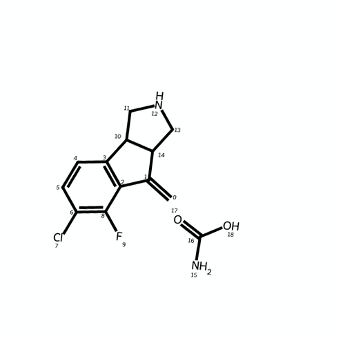 C=C1c2c(ccc(Cl)c2F)C2CNCC12.NC(=O)O